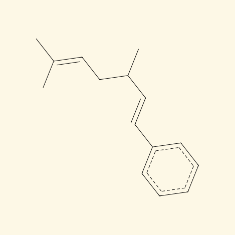 CC(C)=CCC(C)C=Cc1ccccc1